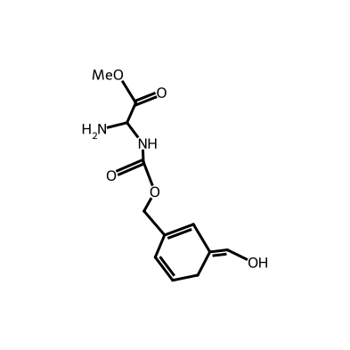 COC(=O)C(N)NC(=O)OCC1=CC(=CO)CC=C1